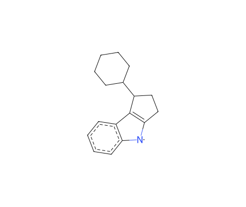 c1ccc2c(c1)[N]C1=C2C(C2CCCCC2)CC1